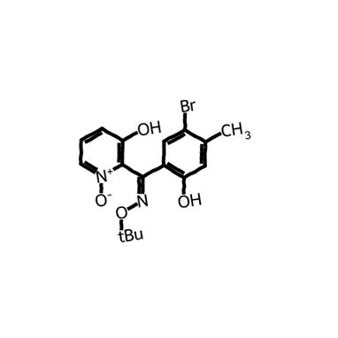 Cc1cc(O)c(C(=NOC(C)(C)C)c2c(O)ccc[n+]2[O-])cc1Br